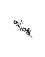 CCC1(OC(=O)COC(=O)C2CCC(S(=O)(=O)C(F)(F)C(F)(F)C(C)(F)F)CC2)CCCC1